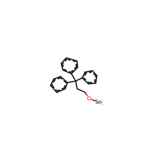 [Sn][O]CCC(c1ccccc1)(c1ccccc1)c1ccccc1